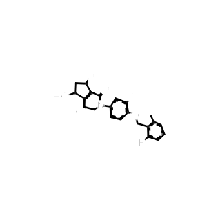 O=C1CN(c2ccc(OCc3c(F)cccc3Cl)c(Cl)c2)C(=O)C2=C1C(O)CC2O